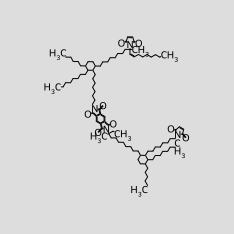 CCCCCCC/C=C\C(C)(CCCCCCCCC1CCC(CCCCCC)C(CCCCCCCC)C1CCCCCCCCn1c(=O)c2cc3c(=O)n(C(C)(CC)CCCCCCCCC4CCC(CCCCCC)C(CCCCCCCC)C4CCCCCCCCN4C(=O)C=CC4=O)c(=O)c3cc2c1=O)N1C(=O)C=CC1=O